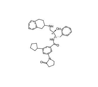 O=C(N[C@@H](Cc1ccccc1)[C@H](O)CNC1CCc2ccccc2C1)c1cc(C2CCCC2)cc(N2CCCC2=O)c1